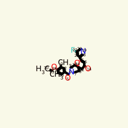 Cc1cc(C(=O)N2CCC3(CC2)CC(=O)C=C(c2cncc(F)c2)O3)ccc1OC(C)C